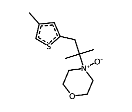 Cc1csc(CC(C)(C)[N+]2([O-])CCOCC2)c1